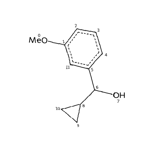 COc1cccc(C(O)C2CC2)c1